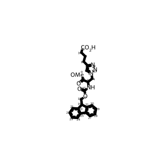 COC(=O)C(Cn1cc(CCCC(=O)O)nn1)NC(=O)OCC1c2ccccc2-c2ccccc21